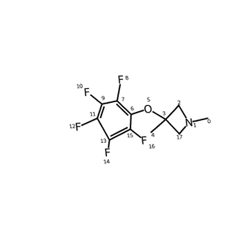 CN1CC(C)(Oc2c(F)c(F)c(F)c(F)c2F)C1